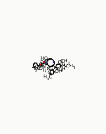 CCN[C@H]1CO[C@@H](O[C@H]2[C@H](O[C@H]3C#C/C=C\C#C[C@]4(O)CC(=O)C(NC(=O)OC)=C3/C4=C\CSSc3ccccn3)O[C@H](C)C[C@@H]2O)C[C@@H]1OC